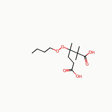 CCCCOOC(C)(CCC(=O)O)C(C)(C)C(=O)O